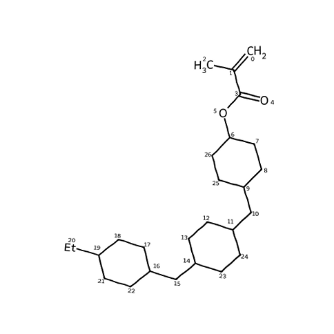 C=C(C)C(=O)OC1CCC(CC2CCC(CC3CCC(CC)CC3)CC2)CC1